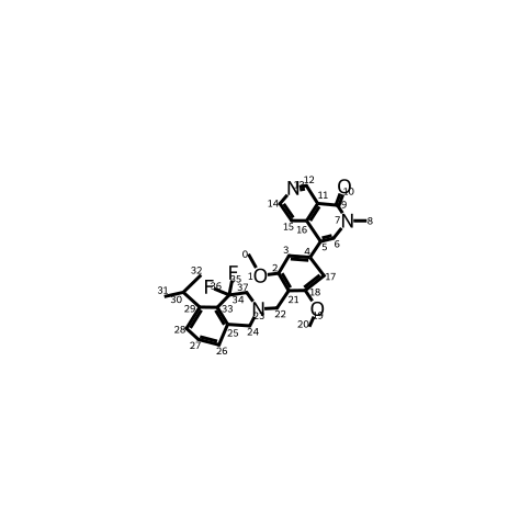 COc1cc(-c2cn(C)c(=O)c3cnccc23)cc(OC)c1CN1Cc2cccc(C(C)C)c2C(F)(F)C1